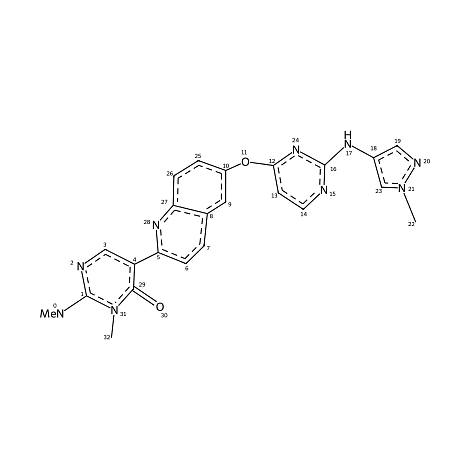 CNc1ncc(-c2ccc3cc(Oc4ccnc(Nc5cnn(C)c5)n4)ccc3n2)c(=O)n1C